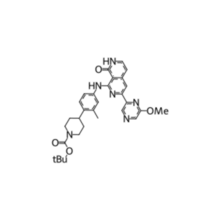 COc1cncc(-c2cc3cc[nH]c(=O)c3c(Nc3ccc(C4CCN(C(=O)OC(C)(C)C)CC4)c(C)c3)n2)n1